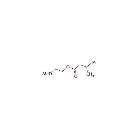 COCCOC(=O)CC(C)C(C)C